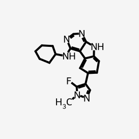 Cn1ncc(-c2ccc3[nH]c4ncnc(NC5CCCCC5)c4c3c2)c1F